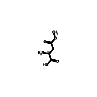 COC(=O)C[C@H](N)C(=O)O